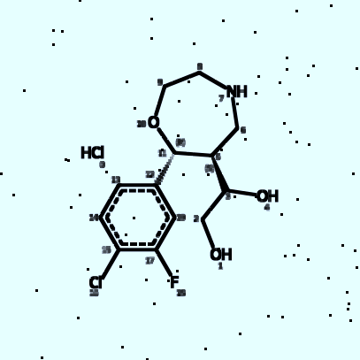 Cl.OCC(O)[C@@H]1CNCCO[C@H]1c1ccc(Cl)c(F)c1